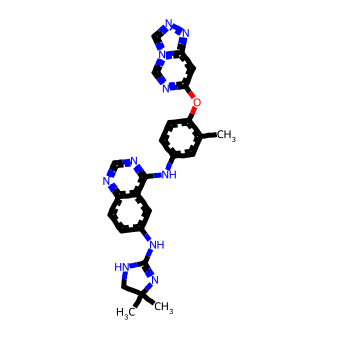 Cc1cc(Nc2ncnc3ccc(NC4=NC(C)(C)CN4)cc23)ccc1Oc1cc2nncn2cn1